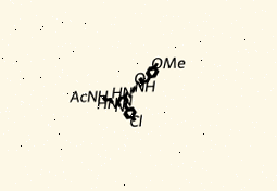 COc1ccc(CC(=O)NCCNc2cc(NCCNC(C)=O)nc(-c3ccc(Cl)cc3)n2)cc1